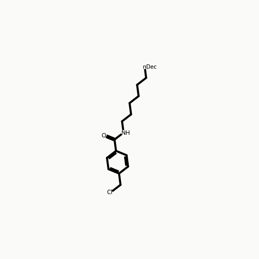 CCCCCCCCCCCCCCCCNC(=O)c1ccc(CCl)cc1